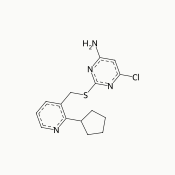 Nc1cc(Cl)nc(SCc2cccnc2C2CCCC2)n1